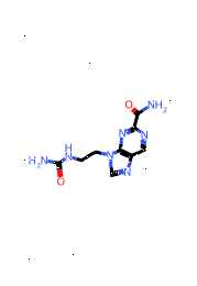 NC(=O)NCCn1cnc2cnc(C(N)=O)nc21